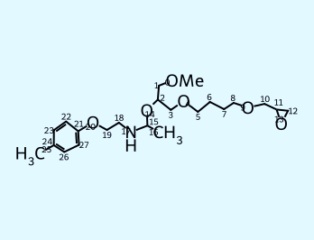 COCC(COCCCCOCC1CO1)OC(C)NCCOc1ccc(C)cc1